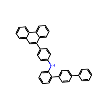 c1ccc(-c2ccc(-c3ccccc3Nc3ccc(-c4cc5ccccc5c5ccccc45)cc3)cc2)cc1